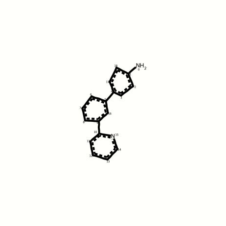 Nc1ccc(-c2cccc(-c3ccccn3)c2)cc1